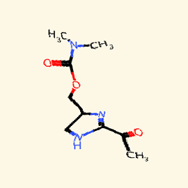 CC(=O)C1=NC(COC(=O)N(C)C)CN1